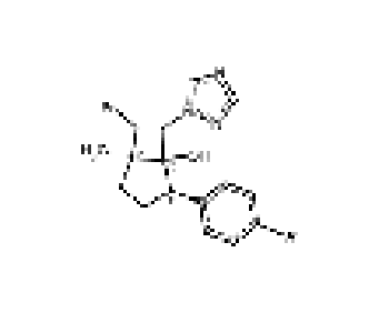 C[C@@]1(CBr)CC[C@H](c2ccc(Br)cc2)[C@@]1(O)Cn1cncn1